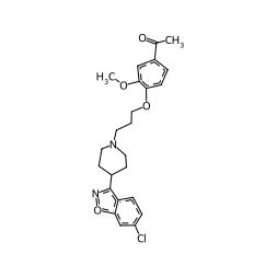 COc1cc(C(C)=O)ccc1OCCCN1CCC(c2noc3cc(Cl)ccc23)CC1